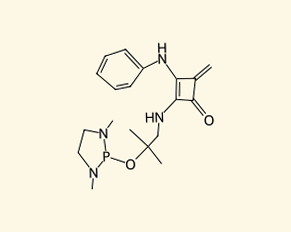 C=C1C(=O)C(NCC(C)(C)OP2N(C)CCN2C)=C1Nc1ccccc1